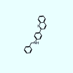 c1ccc(CNc2ccc(-c3ccc4ccccc4n3)cc2)cc1